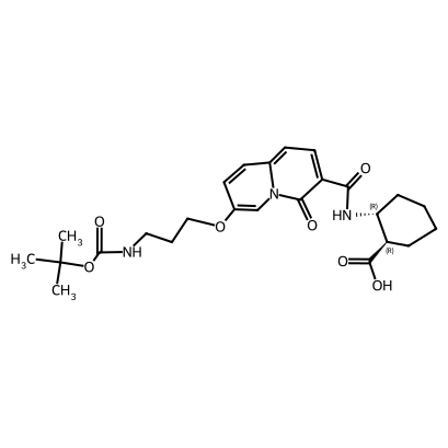 CC(C)(C)OC(=O)NCCCOc1ccc2ccc(C(=O)N[C@@H]3CCCC[C@H]3C(=O)O)c(=O)n2c1